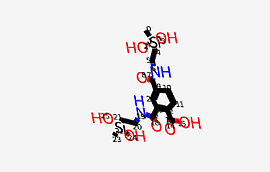 C[Si](O)(O)CCNC(=O)c1ccc(C(=O)O)c(C(=O)NCC[Si](C)(O)O)c1